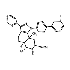 C[C@H]1C(=O)C(C#N)CC2(C)c3c(c(-c4ccncn4)nn3-c3ccc(-c4cncc(F)c4)cc3)CC[C@H]12